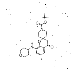 Cc1cc(NC2CCOCC2)c2c(c1)C(=O)CC1(CCN(C(=O)OC(C)(C)C)CC1)O2